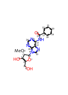 CO[C@H]1C(O)=C(CO)OC1n1cnc2c(NC(=O)c3ccccc3)ncnc21